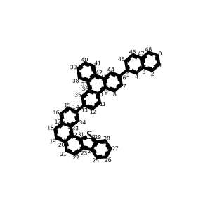 c1ccc2cc(-c3ccc4c5ccc(-c6ccc7ccc8ccc9c%10ccccc%10sc9c8c7c6)cc5c5ccccc5c4c3)ccc2c1